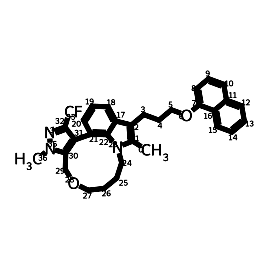 Cc1c(CCCOc2cccc3ccccc23)c2cccc3c2n1CCCCOCc1c-3c(C(F)(F)F)nn1C